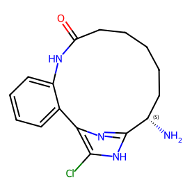 N[C@H]1CCCCCC(=O)Nc2ccccc2-c2nc1[nH]c2Cl